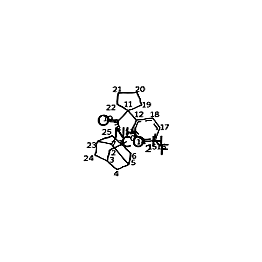 O=C(O)C12CC3CC(C1)C(NC(=O)C1(c4ccc(F)cc4)CCCC1)C(C3)C2